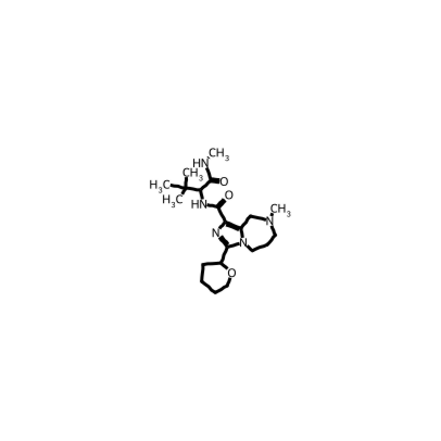 CNC(=O)C(NC(=O)c1nc(C2CCCCO2)n2c1CN(C)CCC2)C(C)(C)C